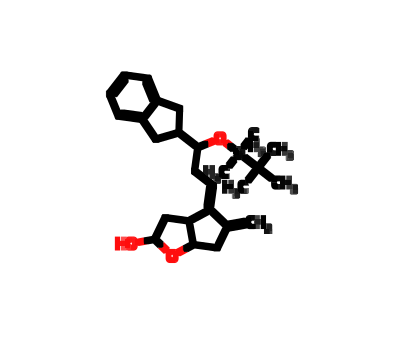 C=C1CC2OC(O)CC2/C1=C\CC(O[Si](C)(C)C(C)(C)C)C1Cc2ccccc2C1